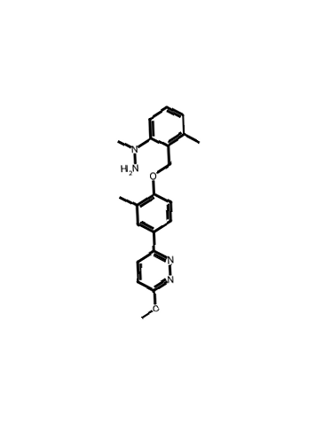 COc1ccc(-c2ccc(OCc3c(C)cccc3N(C)N)c(C)c2)nn1